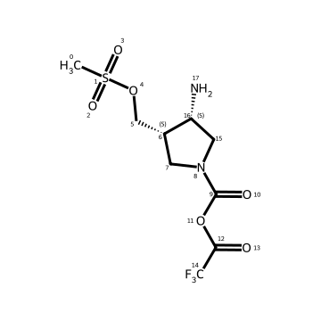 CS(=O)(=O)OC[C@H]1CN(C(=O)OC(=O)C(F)(F)F)C[C@H]1N